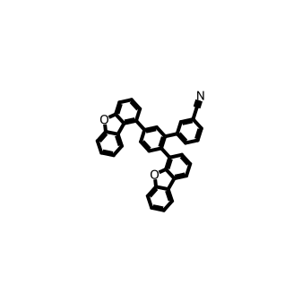 N#Cc1cccc(-c2cc(-c3cccc4oc5ccccc5c34)ccc2-c2cccc3c2oc2ccccc23)c1